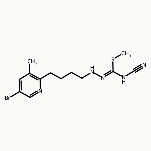 CSC(=NNCCCCc1ncc(Br)cc1C)NC#N